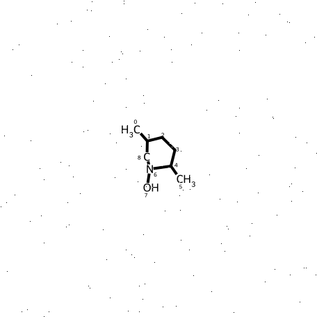 CC1CCC(C)N(O)C1